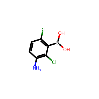 Nc1ccc(Cl)c(B(O)O)c1Cl